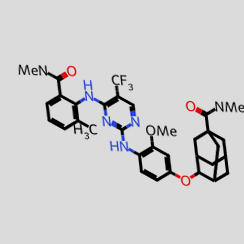 CNC(=O)c1cccc(C)c1Nc1nc(Nc2ccc(OC3C4CC5CC3CC(C(=O)NC)(C5)C4)cc2OC)ncc1C(F)(F)F